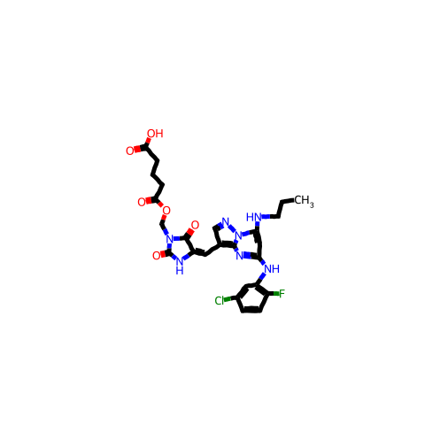 CCCNc1cc(Nc2cc(Cl)ccc2F)nc2c(C=C3NC(=O)N(COC(=O)CCCC(=O)O)C3=O)cnn12